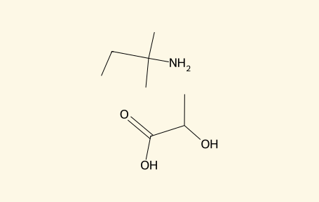 CC(O)C(=O)O.CCC(C)(C)N